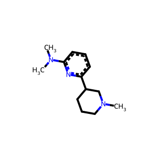 CN1CCCC(c2cccc(N(C)C)n2)C1